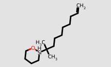 C=CCCCCCCC(C)(C)[SiH]1CCCCO1